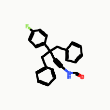 O=CNC#CC(Cc1ccccc1)(Cc1ccccc1)c1ccc(F)cc1